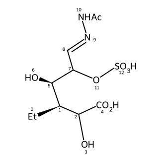 CC[C@H](C(O)C(=O)O)[C@@H](O)C(C=NNC(C)=O)OS(=O)(=O)O